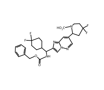 O=C(NC(c1cn2ncc(C3CC(F)(F)CCN3C(=O)O)cc2n1)C1CCC(F)(F)CC1)OCc1ccccc1